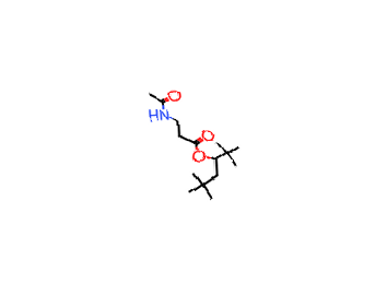 CC(=O)NCCC(=O)OC(CC(C)(C)C)C(C)(C)C